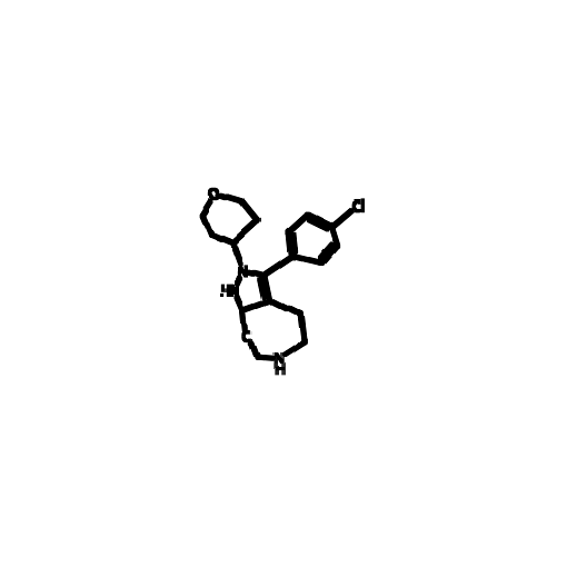 Clc1ccc(C2=C3CCNCCC3NN2C2CCOCC2)cc1